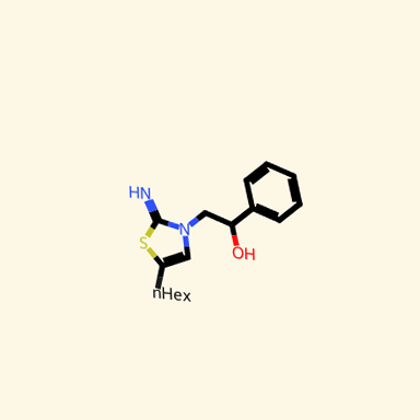 CCCCCCc1cn(CC(O)c2ccccc2)c(=N)s1